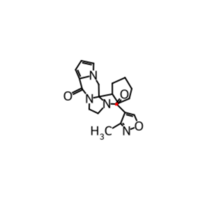 Cc1nocc1C(=O)N1CCN2C(=O)c3cccn3CC12C1CCCCC1